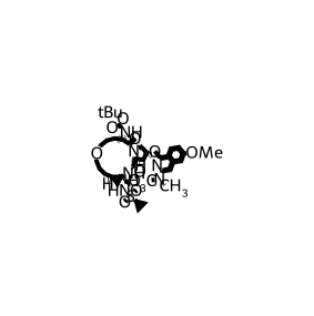 COc1ccc2c(O[C@@H]3C[C@H]4C(=O)N[C@]5(C(=O)NS(=O)(=O)C6CC6)C[C@H]5CCCOCCC[C@H](NC(=O)OC(C)(C)C)C(=O)N4C3)nc(N(C)C)cc2c1